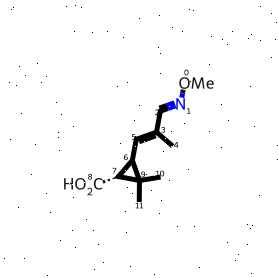 CO/N=C/C(C)=C/C1[C@@H](C(=O)O)C1(C)C